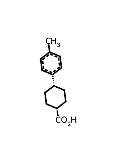 Cc1ccc([C@H]2CC[C@H](C(=O)O)CC2)cc1